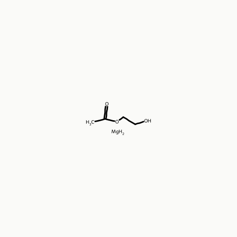 CC(=O)OCCO.[MgH2]